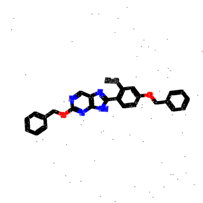 COc1cc(OCc2ccccc2)ccc1-c1nc2cnc(OCc3ccccc3)nc2[nH]1